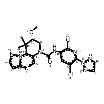 CO[C@@H]1CN(C(=O)Nc2cc(Cl)c(-n3nccn3)nc2Cl)c2cnc3ccnn3c2C1(C)C